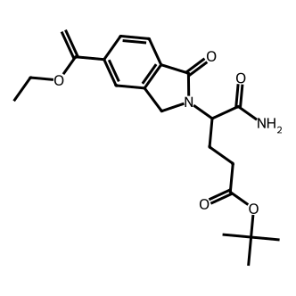 C=C(OCC)c1ccc2c(c1)CN(C(CCC(=O)OC(C)(C)C)C(N)=O)C2=O